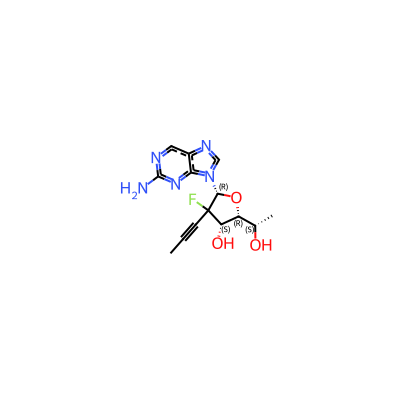 CC#CC1(F)[C@@H](O)[C@@H]([C@H](C)O)O[C@H]1n1cnc2cnc(N)nc21